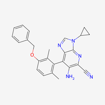 Cc1ccc(OCc2ccccc2)c(C)c1-c1c(N)c(C#N)nc2c1ncn2C1CC1